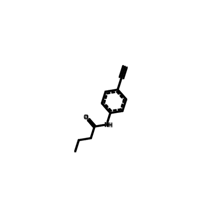 C#Cc1ccc(NC(=O)CCC)cc1